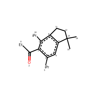 CCC(=O)c1c(C(C)C)cc2c(c1C(C)C)CCC2(C)C